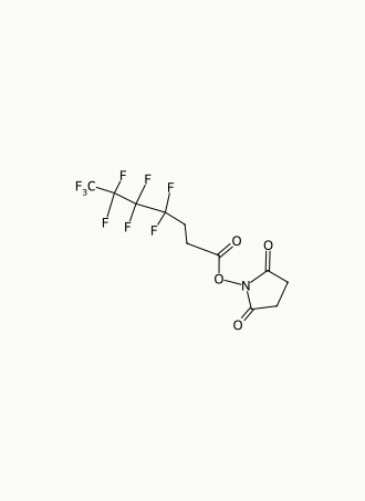 O=C(CCC(F)(F)C(F)(F)C(F)(F)C(F)(F)F)ON1C(=O)CCC1=O